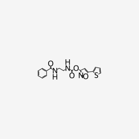 O=C(NCCNC(=O)c1ccccc1)Oc1cc(-c2cccs2)on1